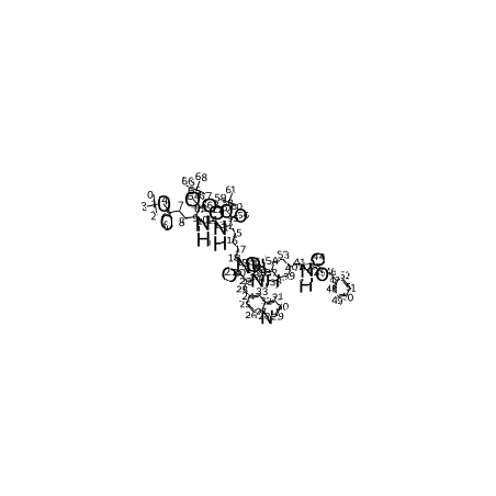 CC(C)(C)OC(=O)CC[C@H](NC(=O)N[C@@H](CCCCNC(=O)[C@H](Cc1ccc2ncccc2c1)NC(=O)C1CCC(CNC(=O)OCc2ccccc2)CC1)C(=O)OC(C)(C)C)C(=O)OC(C)(C)C